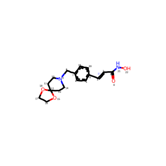 O=C(/C=C/c1ccc(CN2CCC3(CC2)OCCO3)cc1)NO